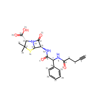 C#CCCC(=O)NC(C(=O)N[C@@H]1C(=O)N2C1SC(C)(C)[C@@H]2C(=O)O)c1ccccc1